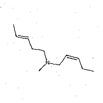 CC=CCCN(C)C/C=C\CC